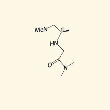 CNC[C@@H](C)NCC(=O)N(C)C